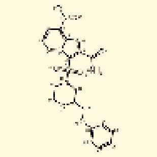 NC(=O)c1[nH]c2c([N+](=O)[O-])cccc2c1S(=O)(=O)N1CCOC(COc2ccccc2)C1